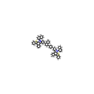 c1ccc2c(-n3c4ccc(-c5ccc(-c6ccc(-c7ccc8c(c7)c7c9ccccc9c9c%10ccccc%10sc9c7n8-c7cccc8ccccc78)c7ccccc67)cc5)cc4c4c5ccccc5c5c6ccccc6sc5c43)cccc2c1